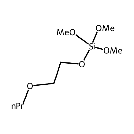 CCCOCCO[Si](OC)(OC)OC